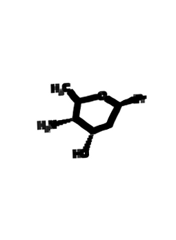 CC1O[C@@H](C(C)C)C[C@H](O)[C@@H]1N